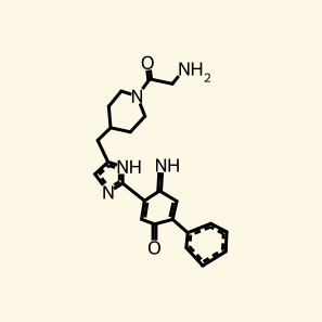 N=C1C=C(c2ccccc2)C(=O)C=C1c1ncc(CC2CCN(C(=O)CN)CC2)[nH]1